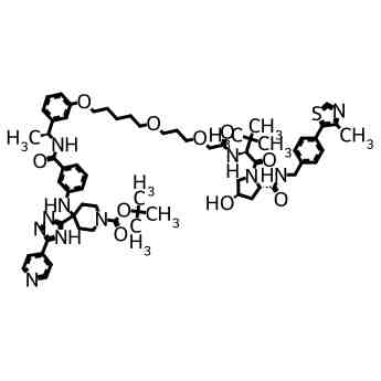 Cc1ncsc1-c1ccc(CNC(=O)[C@@H]2C[C@@H](O)CN2C(=O)[C@@H](NC(=O)COCCCOCCCCCOc2cccc([C@H](C)NC(=O)c3cccc(NC4(c5nnc(-c6ccncc6)[nH]5)CCN(C(=O)OC(C)(C)C)CC4)c3)c2)C(C)(C)C)cc1